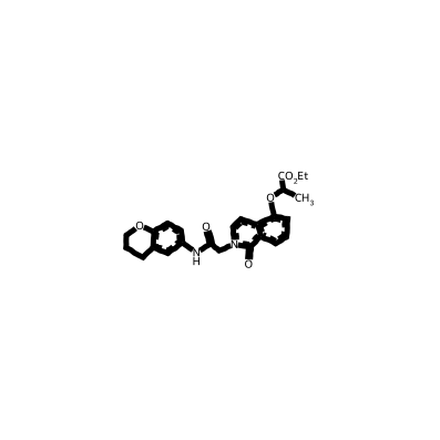 CCOC(=O)C(C)Oc1cccc2c(=O)n(CC(=O)Nc3ccc4c(c3)CCCO4)ccc12